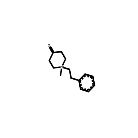 C[N+]1(CCc2ccccc2)CCC(=O)CC1